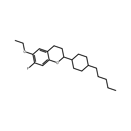 CCCCCC1CCC(C2CCc3cc(OCC)c(F)cc3O2)CC1